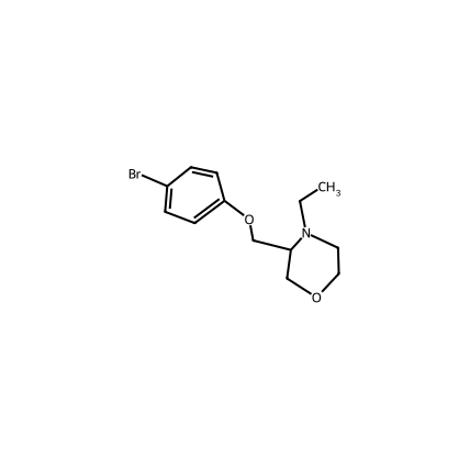 CCN1CCOCC1COc1ccc(Br)cc1